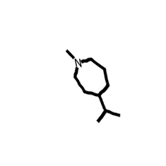 CC(C)C1CCCN(C)CC1